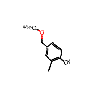 COOCc1ccc(C#N)c(C)c1